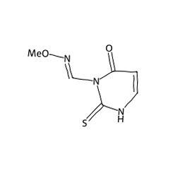 CON=Cn1c(=O)cc[nH]c1=S